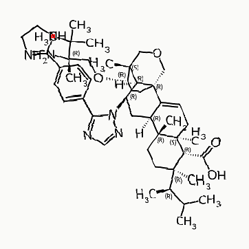 CC(C)[C@@H](C)[C@@]1(C)CC[C@]2(C)[C@H]3CC[C@@H]4[C@@]5(COC[C@@]4(C)[C@@H](OC[C@](C)(N)C(C)(C)C)[C@H](n4ncnc4-c4ccc(C6=NCCN6)cc4)C5)C3=CC[C@@]2(C)[C@@H]1C(=O)O